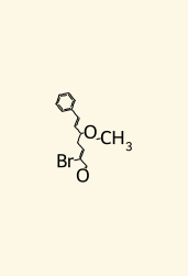 CCOC(C=Cc1ccccc1)CC=C(Br)C=O